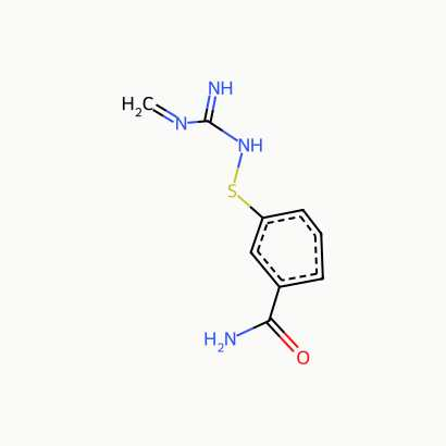 C=NC(=N)NSc1cccc(C(N)=O)c1